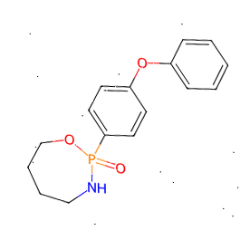 O=P1(c2ccc(Oc3ccccc3)cc2)NCCCCO1